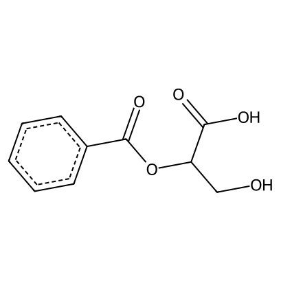 O=C(OC(CO)C(=O)O)c1ccccc1